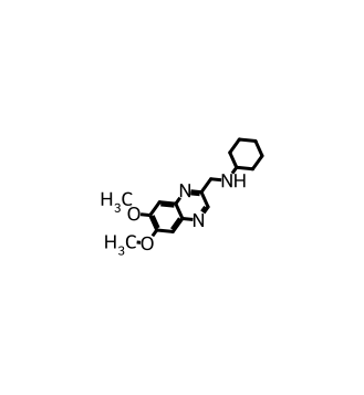 COc1cc2ncc(CNC3CCCCC3)nc2cc1OC